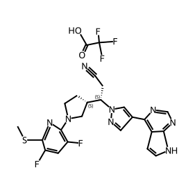 CSc1nc(N2CC[C@H]([C@H](CC#N)n3cc(-c4ncnc5[nH]ccc45)cn3)C2)c(F)cc1F.O=C(O)C(F)(F)F